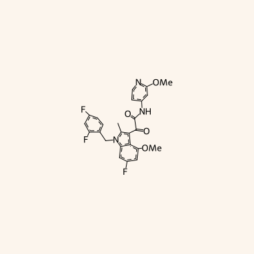 COc1cc(NC(=O)C(=O)c2c(C)n(Cc3ccc(F)cc3F)c3cc(F)cc(OC)c23)ccn1